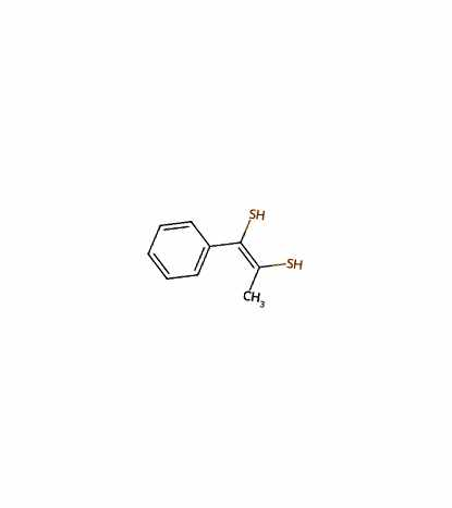 C/C(S)=C(/S)c1ccccc1